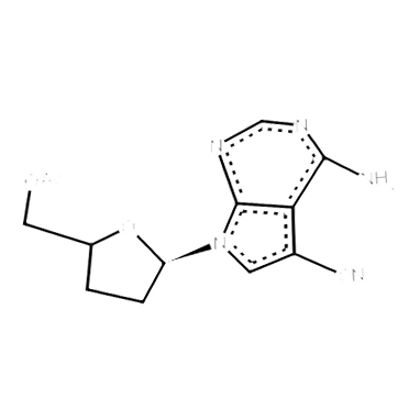 CC(=O)OCC1[CH][CH][C@H](n2cc(C#N)c3c(N)ncnc32)O1